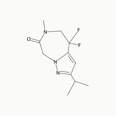 CC(C)c1cc2n(n1)CC(=O)N(C)CC2(F)F